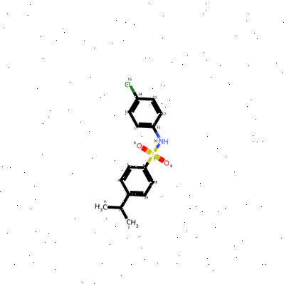 CC(C)c1ccc(S(=O)(=O)Nc2ccc(Cl)cc2)cc1